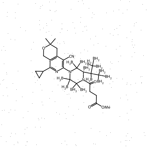 BC(B)(B)C(B)(C(B)(B)B)[C@@]1(B)N(C(=O)CCC(=O)OC)C(B)(B)C(B)(B)N(c2nc(C3CC3)c3c(c2C#N)CC(C)(C)OC3)C1(B)B